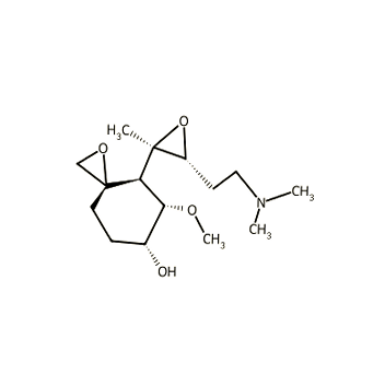 CO[C@@H]1[C@H](O)CC[C@]2(CO2)[C@H]1[C@@]1(C)O[C@@H]1CCN(C)C